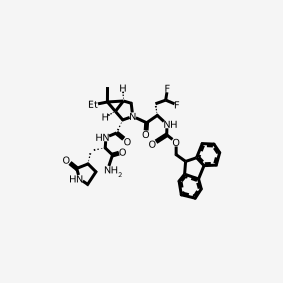 CCC1(C)[C@@H]2[C@@H](C(=O)N[C@@H](C[C@@H]3CCNC3=O)C(N)=O)N(C(=O)[C@H](CC(F)F)NC(=O)OCC3c4ccccc4-c4ccccc43)C[C@@H]21